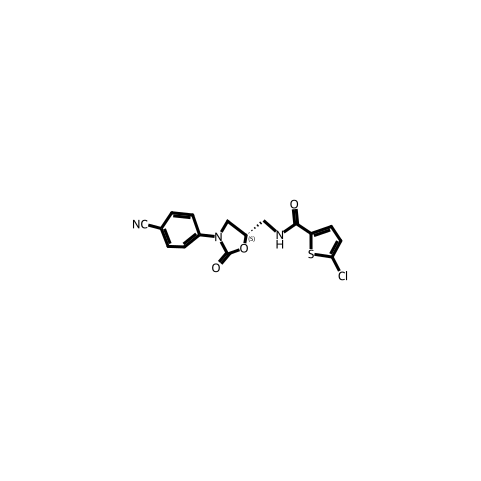 N#Cc1ccc(N2C[C@H](CNC(=O)c3ccc(Cl)s3)OC2=O)cc1